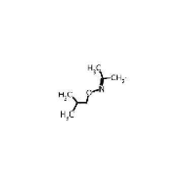 [CH2]/C(C)=N/OCC(C)C